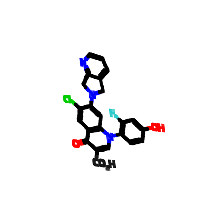 O=C(O)c1cn(-c2ccc(O)cc2F)c2cc(N3Cc4cccnc4C3)c(Cl)cc2c1=O